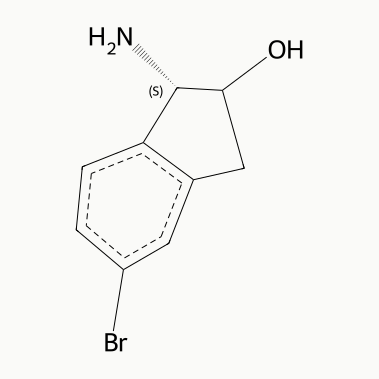 N[C@H]1c2ccc(Br)cc2CC1O